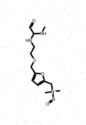 CNC(C=O)NCCSCc1ccc(C[N+](C)(C)N=O)o1